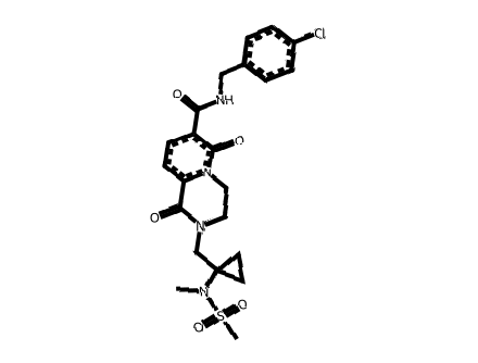 CN(C1(CN2CCn3c(ccc(C(=O)NCc4ccc(Cl)cc4)c3=O)C2=O)CC1)S(C)(=O)=O